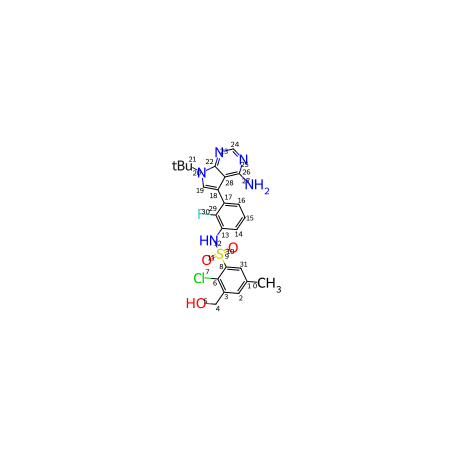 Cc1cc(CO)c(Cl)c(S(=O)(=O)Nc2cccc(-c3cn(C(C)(C)C)c4ncnc(N)c34)c2F)c1